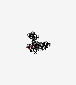 CN(C(=O)OC(C)(C)C)[C@@H]1[C@@H](O)[C@@H](O[C@@H]2[C@@H](O)[C@H](O[C@H]3OC(CNS(=O)(=O)c4ccccc4[N+](=O)[O-])=CC[C@H]3N/C(=N/C(=O)OC(C)(C)C)NC(=O)OC(C)(C)C)[C@@H](NC(=O)OC(C)(C)C)C[C@H]2NC(=O)CC(C)(C)C)OC[C@]1(C)O